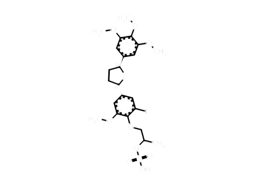 COc1cc([C@@H]2CC[C@@H](c3cc(OC)c(OC)c(OC)c3)O2)cc(I)c1OCC(C)OS(=O)(=O)O